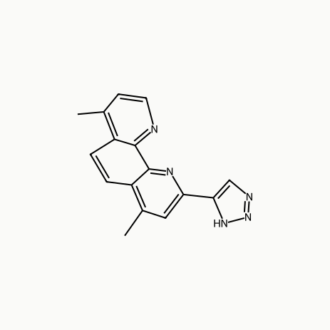 Cc1ccnc2c1ccc1c(C)cc(-c3cnn[nH]3)nc12